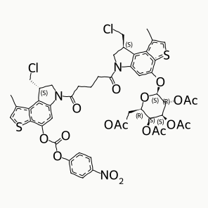 CC(=O)OC[C@H]1O[C@@H](Oc2cc3c(c4c(C)csc24)[C@H](CCl)CN3C(=O)CCCC(=O)N2C[C@@H](CCl)c3c2cc(OC(=O)Oc2ccc([N+](=O)[O-])cc2)c2scc(C)c32)[C@H](OC(C)=O)[C@@H](OC(C)=O)[C@H]1OC(C)=O